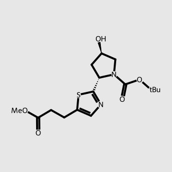 COC(=O)CCc1cnc([C@@H]2C[C@@H](O)CN2C(=O)OC(C)(C)C)s1